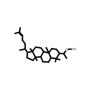 CC(C)=CCCC(C)C1CCC2(C)C3CCC4C(C)(C)C(C(C)OO)CCC4(C)C3CCC12C